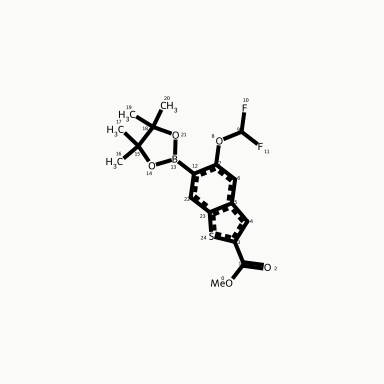 COC(=O)c1cc2cc(OC(F)F)c(B3OC(C)(C)C(C)(C)O3)cc2s1